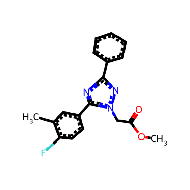 COC(=O)Cn1nc(-c2ccccc2)nc1-c1ccc(F)c(C)c1